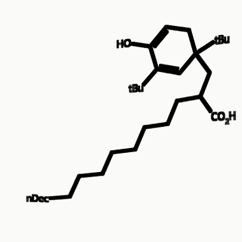 CCCCCCCCCCCCCCCCCCC(CC1(C(C)(C)C)C=C(C(C)(C)C)C(O)=CC1)C(=O)O